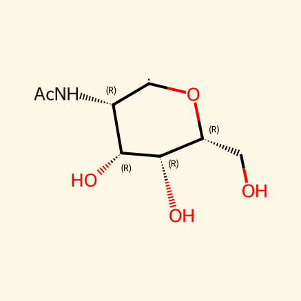 CC(=O)N[C@@H]1[CH]O[C@H](CO)[C@H](O)[C@@H]1O